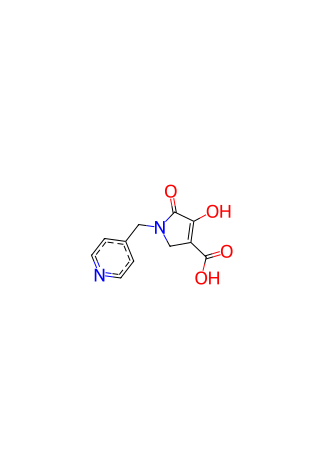 O=C(O)C1=C(O)C(=O)N(Cc2ccncc2)C1